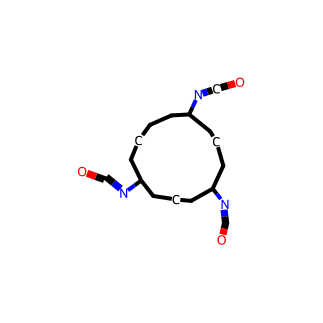 O=C=NC1CCCCC(N=C=O)CCCC(N=C=O)CCC1